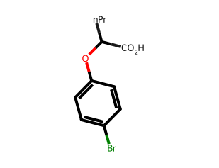 CCCC(Oc1ccc(Br)cc1)C(=O)O